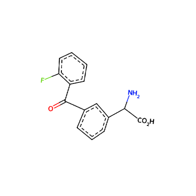 NC(C(=O)O)c1cccc(C(=O)c2ccccc2F)c1